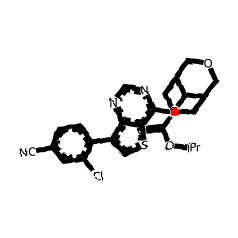 CC(C)OC(=O)N1CC2COCC(C1)C2Oc1ncnc2c(-c3ccc(C#N)cc3Cl)csc12